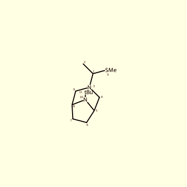 CSC(C)N1CC2CCC(C1)N2C(C)(C)C